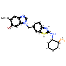 COc1cc2ncn(Cc3ccc4nc(N[C@@H]5CCCCC5P)sc4c3)c2cc1Br